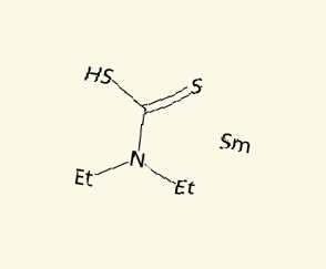 CCN(CC)C(=S)S.[Sm]